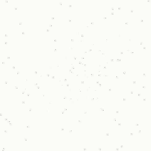 c1ccc2c(c1)-c1ccccc1C21c2ccccc2-c2ccc(N(c3ccc4c(c3)C3(c5ccccc5-4)c4ccc5ccccc5c4Oc4c3ccc3ccccc43)c3ccc4c(c3)oc3ccccc34)cc21